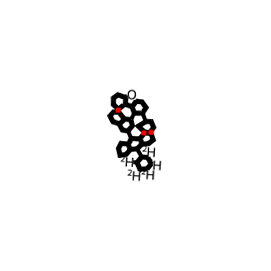 [2H]c1c([2H])c([2H])c(-c2c3ccccc3c(-c3cc(-c4c(-c5ccccc5)ccc5oc6ccccc6c45)c4ccccc4c3)c3ccccc23)c([2H])c1[2H]